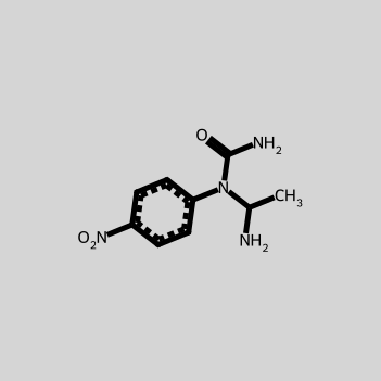 CC(N)N(C(N)=O)c1ccc([N+](=O)[O-])cc1